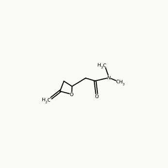 C=C1CC(CC(=O)N(C)C)O1